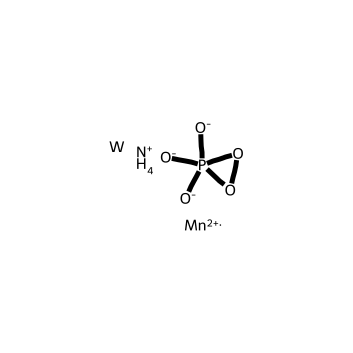 [Mn+2].[NH4+].[O-]P1([O-])([O-])OO1.[W]